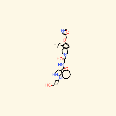 Cc1c(OCc2cnco2)ccc2c1CCN(C[C@@H](O)CNC(=O)C1CCNC(N[C@H]3C[C@@H](CO)C3)C13CCCCCCCC3)C2